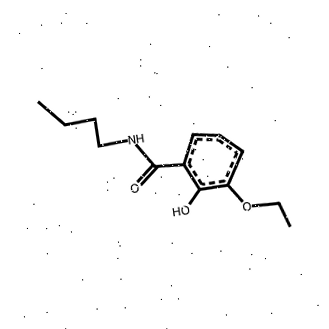 CCCCNC(=O)c1cccc(OCC)c1O